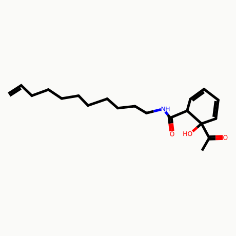 C=CCCCCCCCCCNC(=O)C1C=CC=CC1(O)C(C)=O